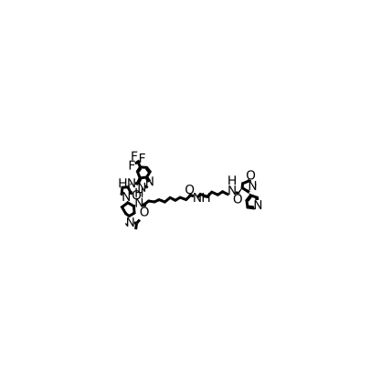 CC(C)N(C)[C@@H]1CC[C@H](N2CC[C@H](Nc3ncnc4ccc(C(F)(F)F)cc34)C2=O)[C@H](NC(=O)CCCCCCCCC(=O)NCCCCCCNC(=O)[C@H]2CC(=O)N(C)[C@@H]2c2cccnc2)C1